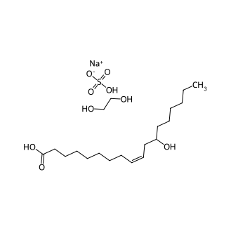 CCCCCCC(O)C/C=C\CCCCCCCC(=O)O.O=S(=O)([O-])O.OCCO.[Na+]